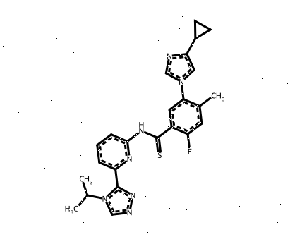 Cc1cc(F)c(C(=S)Nc2cccc(-c3nncn3C(C)C)n2)cc1-n1cnc(C2CC2)c1